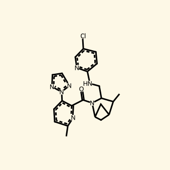 Cc1ccc(-n2nccn2)c(C(=O)N2C3CC(C3)C(C)C2CNc2ccc(Cl)cn2)n1